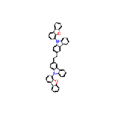 c1ccc2c(c1)oc1c(-n3c4ccccc4c4cc(CCc5ccc6c(c5)c5ccccc5n6-c5cccc6c5oc5ccccc56)ccc43)cccc12